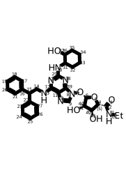 CCNC(=O)[C@H]1O[C@@H](On2cnc3c(NCC(c4ccccc4)c4ccccc4)nc(NC4CCCCC4O)nc32)[C@H](O)[C@@H]1O